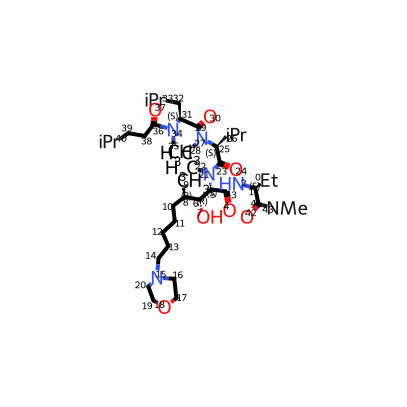 CC[C@H](NC(=O)[C@H]([C@H](O)[C@H](C)CCCCCN1CCOCC1)N(C)C(=O)[C@H](C(C)C)N(C)C(=O)[C@H](CC(C)C)N(C)C(=O)CCC(C)C)C(=O)NC